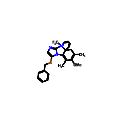 COC1=C(C)CC23C=CC=C[N+]2(C(F)(F)F)c2ncc(SCc4ccccc4)n2C3=C1C